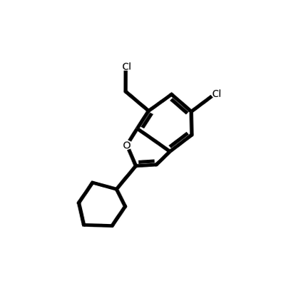 ClCc1cc(Cl)cc2cc(C3CCCCC3)oc12